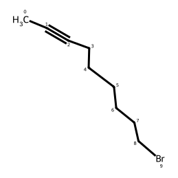 CC#CCCCCCCBr